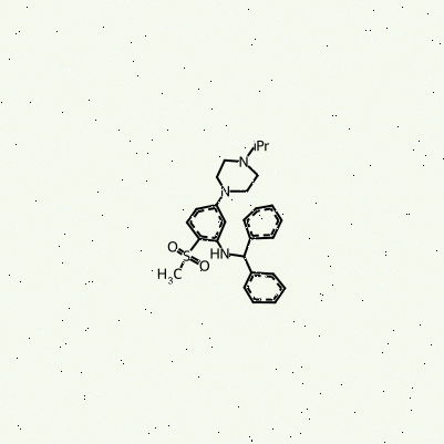 CC(C)N1CCN(c2ccc(S(C)(=O)=O)c(NC(c3ccccc3)c3ccccc3)c2)CC1